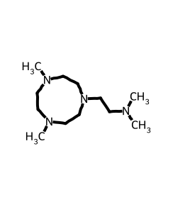 CN(C)CCN1CCN(C)CCN(C)CC1